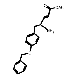 COC(=O)/C=C/C(N)Cc1ccc(OCc2ccccc2)cc1